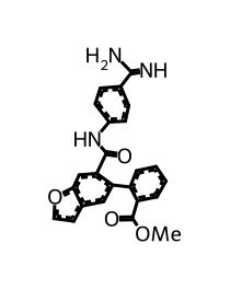 COC(=O)c1ccccc1-c1cc2ccoc2cc1C(=O)Nc1ccc(C(=N)N)cc1